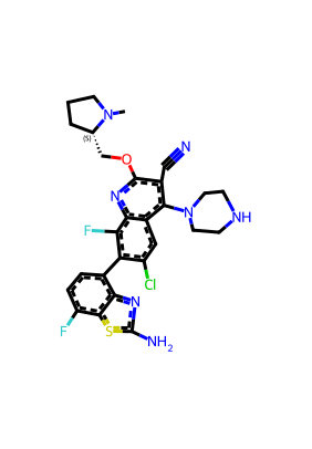 CN1CCC[C@H]1COc1nc2c(F)c(-c3ccc(F)c4sc(N)nc34)c(Cl)cc2c(N2CCNCC2)c1C#N